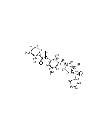 Cc1cccc(C(=O)Nc2cc(F)cc(CN3CCN(C(=O)C4CCCC4)[C@@H](C)C3)c2C)c1C